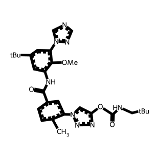 COc1c(NC(=O)c2ccc(C)c(-n3cc(OC(=O)NCC(C)(C)C)nn3)c2)cc(C(C)(C)C)cc1-n1cncn1